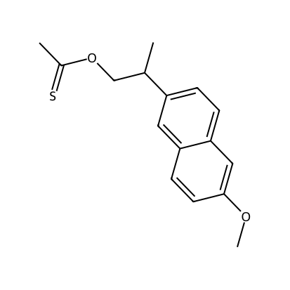 COc1ccc2cc(C(C)COC(C)=S)ccc2c1